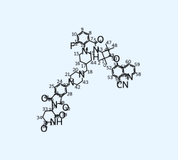 CC1(C)C(NC(=O)c2cccc(F)c2N2CCC(CN3CCN(c4ccc5c(c4)C(=O)N(C4CCC(=O)NC4=O)C5=O)CC3)CC2)C(C)(C)C1Oc1ccc(C#N)c2ncccc12